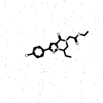 CCOC(=O)CN1CC(CC)n2nc(-c3ccc(Cl)cc3)cc2C1=O